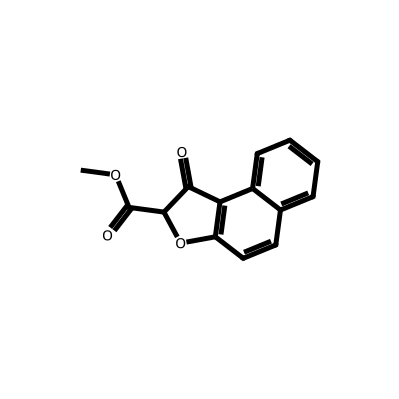 COC(=O)C1Oc2ccc3ccccc3c2C1=O